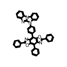 c1ccc(-c2nc3c(-c4ccc(-n5c6ccccc6n6c7ccccc7nc56)cc4)c4oc(-c5ccccc5)nc4c(-c4ccccc4)c3o2)cc1